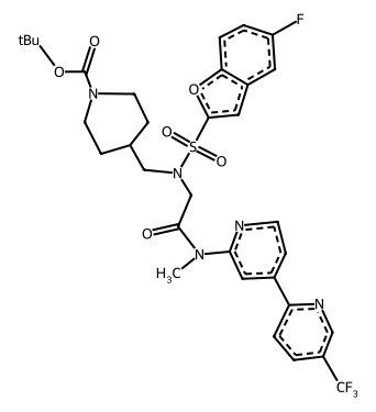 CN(C(=O)CN(CC1CCN(C(=O)OC(C)(C)C)CC1)S(=O)(=O)c1cc2cc(F)ccc2o1)c1cc(-c2ccc(C(F)(F)F)cn2)ccn1